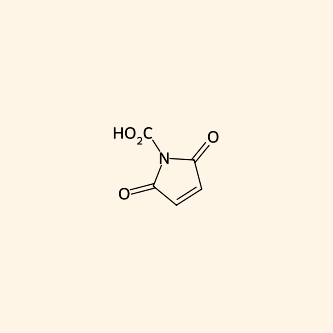 O=C(O)N1C(=O)C=CC1=O